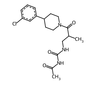 CC(=O)NC(=O)NCC(C)C(=O)N1CCC(c2cccc(Cl)c2)CC1